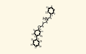 c1ccc(CNCCCOc2ccc(-c3ccccc3)cc2)cc1